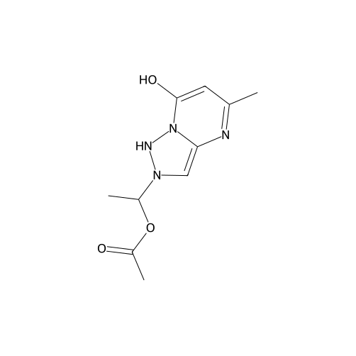 CC(=O)OC(C)N1C=C2N=C(C)C=C(O)N2N1